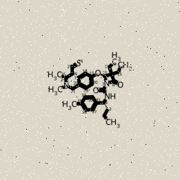 CCC[C@@H](NC(=O)N1C(=O)C(CC)(CC)[C@@H]1Oc1ccc(CN(C)C(C)CC=S)cc1)c1ccc(C)cc1